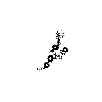 C=CC(=O)OCCOc1ccc(C(=O)Oc2ccc(-c3ccc(CC)cc3)cc2/C=N/Nc2nc3ccccc3s2)cc1